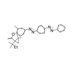 C=C(Oc1ccc(/N=N/c2ccc(/N=N/c3ccccc3)cc2)cc1C)C1(C(C)(C)CC)CC1(C)C